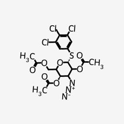 CC(=O)OCC1O[C@H](Sc2cc(Cl)c(Cl)c(Cl)c2)C(OC(C)=O)C(N=[N+]=[N-])[C@H]1OC(C)=O